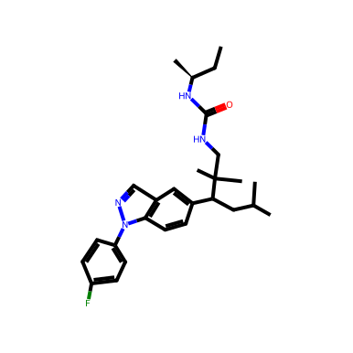 CC[C@H](C)NC(=O)NCC(C)(C)C(CC(C)C)c1ccc2c(cnn2-c2ccc(F)cc2)c1